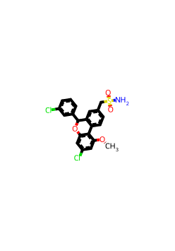 COc1cc(Cl)cc2c1-c1ccc(CS(N)(=O)=O)cc1C(c1cccc(Cl)c1)O2